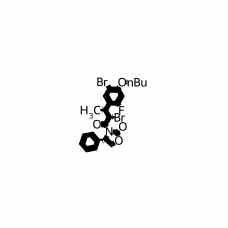 CCCCOc1cc(F)c([C@H](C)[C@@H](Br)C(=O)N2C(=O)OC[C@H]2c2ccccc2)cc1Br